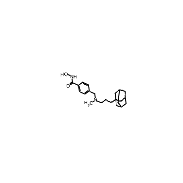 CN(CCCC12CC3CC(CC(C3)C1)C2)Cc1ccc(C(=O)NO)cc1